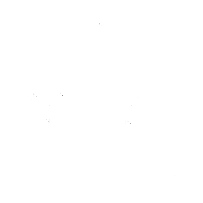 Cc1cc(-c2cc(CNC(=N)N)cc(C(=O)NCc3cc(F)cc(Cl)c3)c2)ccn1